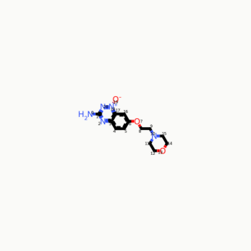 Nc1nc2ccc(OCCN3CCOCC3)cc2[n+]([O-])n1